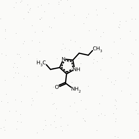 CCCc1nc(CC)c(C(N)=O)[nH]1